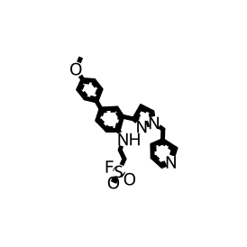 COc1ccc(-c2ccc(NCCS(=O)(=O)F)c(-c3ccn(Cc4cccnc4)n3)c2)cc1